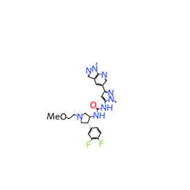 COCCN1C[C@@H](NC(=O)Nc2cc(-c3cnc4c(cnn4C)c3)nn2C)[C@H](c2ccc(F)c(F)c2)C1